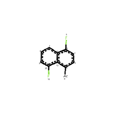 CC(=O)c1ccc(F)c2cccc(F)c12